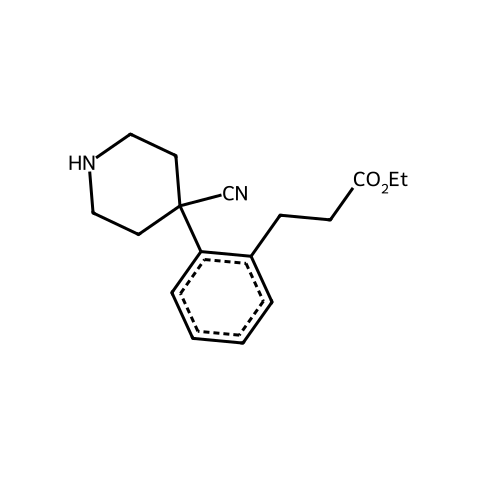 CCOC(=O)CCc1ccccc1C1(C#N)CCNCC1